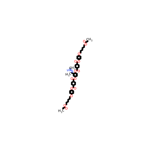 C=CC(=O)OCCCCCCOc1ccc(OC(=O)C2CCC(C(=O)Oc3ccc(OC(=O)C4CCC(C(=O)Oc5ccc(OCCCCCCOC(=O)C=C)cc5)CC4)c(/C(C)=N/NC)c3)CC2)cc1